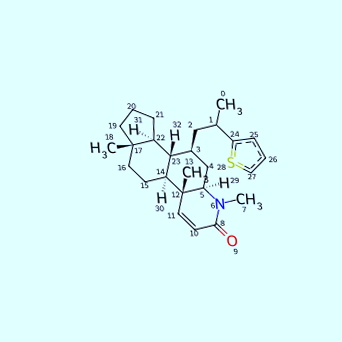 CC(C[C@H]1C[C@H]2N(C)C(=O)C=C[C@]2(C)[C@H]2CC[C@]3(C)CCC[C@H]3[C@H]12)c1cccs1